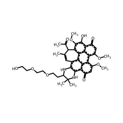 COc1c(O)c2c(=O)cc(OC)c3c4c(OC)cc(=O)c5c6c(c7c(c(c1C(C(C)=O)C(C)=C7)c23)c54)NC(CCOCCOCCO)C(C)(C)N6